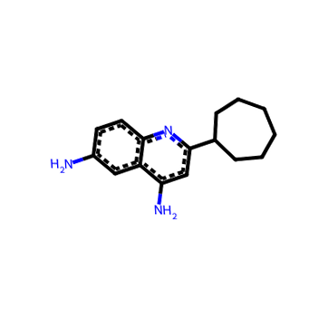 Nc1ccc2nc(C3CCCCCC3)cc(N)c2c1